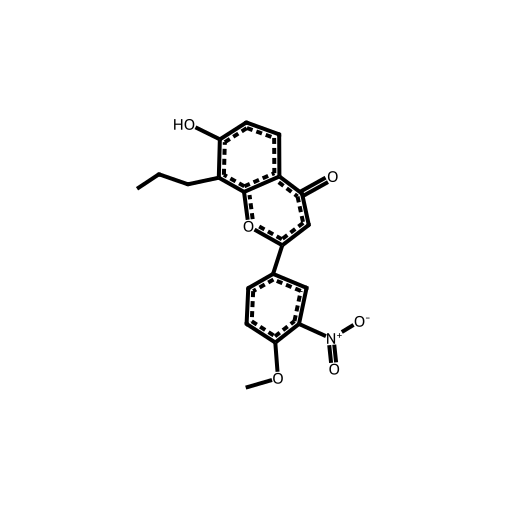 CCCc1c(O)ccc2c(=O)cc(-c3ccc(OC)c([N+](=O)[O-])c3)oc12